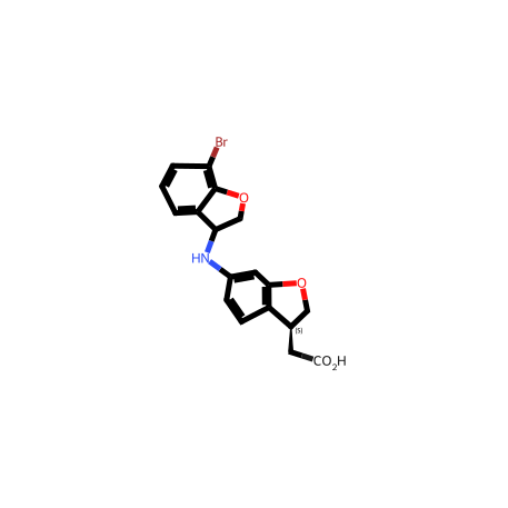 O=C(O)C[C@@H]1COc2cc(NC3COc4c(Br)cccc43)ccc21